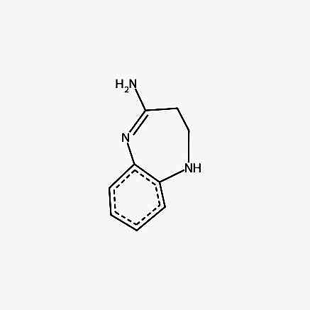 NC1=Nc2ccccc2NCC1